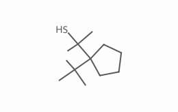 CC(C)(C)C1(C(C)(C)S)CCCC1